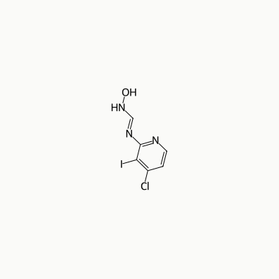 ON/C=N/c1nccc(Cl)c1I